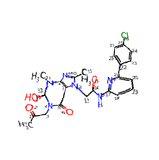 CC(=O)CN1C(=O)c2c(nc(C)n2CC(=O)Nc2cccc(-c3ccc(Cl)cc3)n2)N(C)C1O